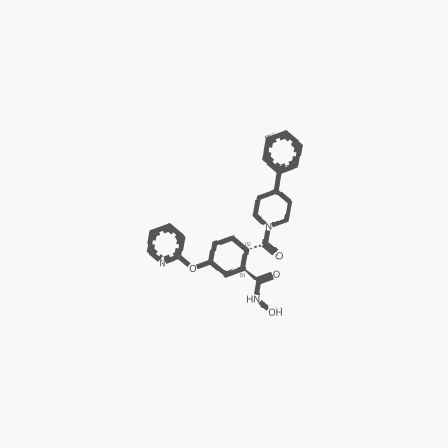 O=C(NO)[C@H]1CC(Oc2ccccn2)CC[C@@H]1C(=O)N1CCC(c2ccccc2)CC1